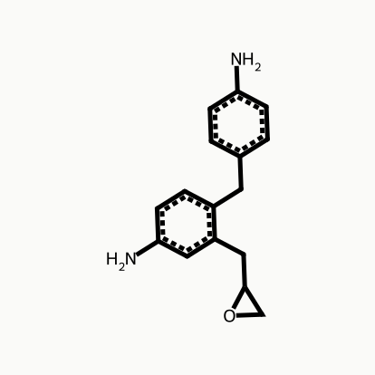 Nc1ccc(Cc2ccc(N)cc2CC2CO2)cc1